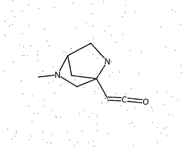 CN1CC2([C]=C=O)CC1C[N]2